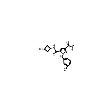 CNC(=O)c1cc(C(=O)N[C@H]2C[C@H](O)C2)n([C@@H](C)c2cccc(Cl)c2)n1